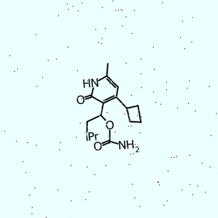 Cc1cc(C2CCC2)c(C(CC(C)C)OC(N)=O)c(=O)[nH]1